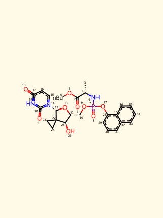 CCCCOC(=O)[C@H](C)NP(=O)(OC[C@H]1O[C@@H](n2ccc(=O)[nH]c2=O)C2(CC2)[C@@H]1O)Oc1cccc2ccccc12